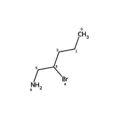 CCCC(Br)CN